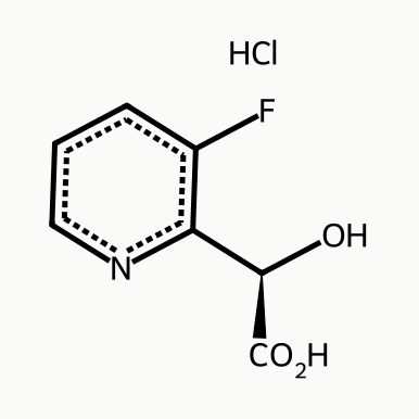 Cl.O=C(O)[C@H](O)c1ncccc1F